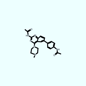 CC(=O)Nc1ccc(-c2ccc3nc(NC(C)=O)nc(N4CCN(C)CC4)c3c2)cc1